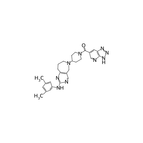 Cc1cc(C)cc(Nc2ncc3c(n2)CCCN(C2CCN(C(=O)c4cnc5[nH]nnc5c4)CC2)C3)c1